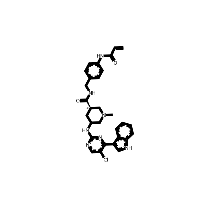 C=CC(=O)Nc1ccc(CNC(=O)[C@@H]2CC(Nc3ncc(Cl)c(-c4c[nH]c5ccccc45)n3)CN(C)C2)cc1